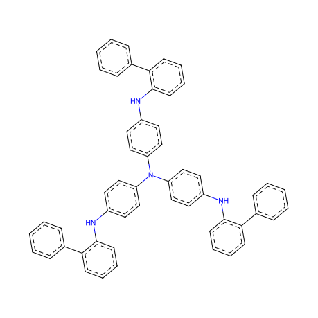 c1ccc(-c2ccccc2Nc2ccc(N(c3ccc(Nc4ccccc4-c4ccccc4)cc3)c3ccc(Nc4ccccc4-c4ccccc4)cc3)cc2)cc1